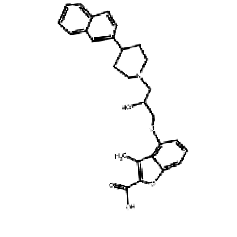 Cc1c(C(=O)O)oc2cccc(OC[C@@H](O)CN3CCC(c4ccc5ccccc5c4)CC3)c12